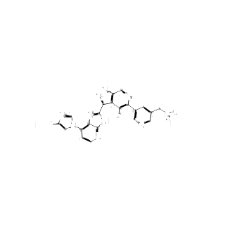 Cc1cn(-c2ccnc3[nH]c(-c4n[nH]c5cnc(-c6cncc(CN(C)C)c6)c(F)c45)nc23)cn1